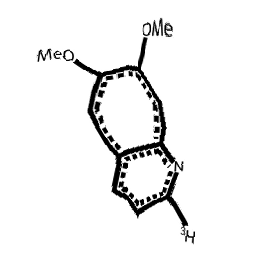 [3H]c1[c]cc2cc(OC)c(OC)cc2n1